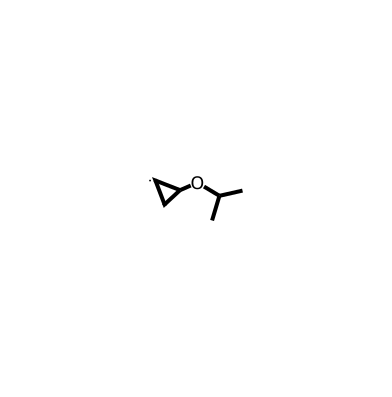 CC(C)OC1[CH]C1